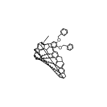 CN1CC2C3=c4c5c6c7c8c9c(cc%10c%11c%12c%13c%14c(cc%15c%16c(c4c6c(c%16%14)c%13c7c%119)=C(C3)C%15)=CC%12C%10)=CC3CC2(C=5C83)C1c1ccc(OCc2ccccc2)c(OCc2ccccc2)c1